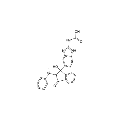 C[C@@H](c1ccccc1)N1C(=O)c2ccccc2C1(O)c1ccc2[nH]c(NC(=O)O)nc2c1